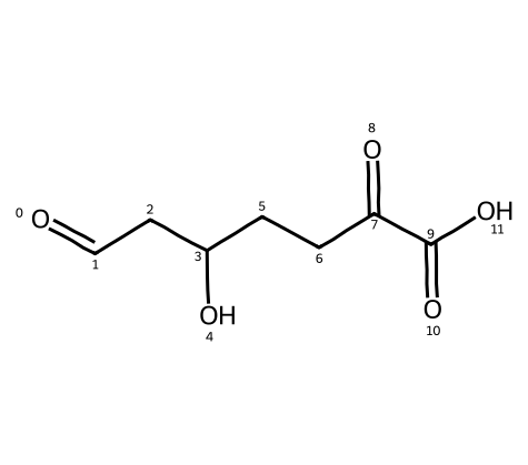 O=CCC(O)CCC(=O)C(=O)O